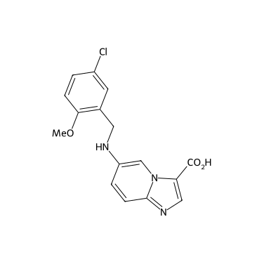 COc1ccc(Cl)cc1CNc1ccc2ncc(C(=O)O)n2c1